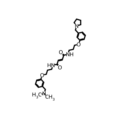 CN(C)Cc1cccc(OCCCNC(=O)C=CC(=O)NCCCOc2cccc(CN3CCCC3)c2)c1